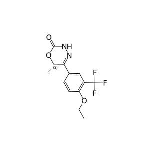 CCOc1ccc(C2=NNC(=O)O[C@H]2C)cc1C(F)(F)F